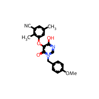 COc1ccc(Cn2cnc(O)c(Oc3cc(C)cc(C#N)c3C)c2=O)cc1